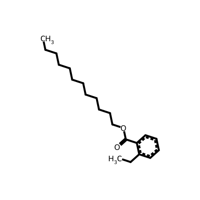 CCCCCCCCCCCCOC(=O)c1ccccc1CC